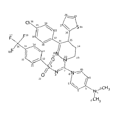 CN(C)c1cc[n+](C(=NS(=O)(=O)c2ccc(C(F)(F)F)cc2)N2CCC(c3cccs3)C(c3ccc(Cl)cc3)=N2)cc1